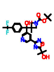 CC(C)(C)OC(=O)N1CC(C)(C(O)(c2ccc(C(C)(F)F)cc2)c2cncc(-c3noc(C(C)(C)O)n3)c2)C1